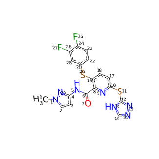 Cn1ccc(NC(=O)c2nc(Sc3nnc[nH]3)ccc2Sc2ccc(F)c(F)c2)n1